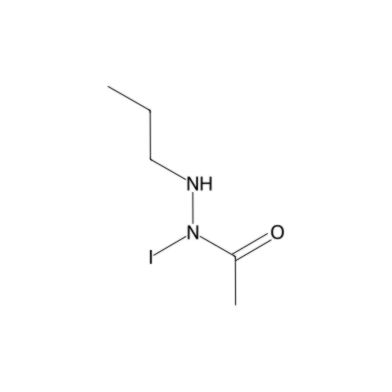 CCCNN(I)C(C)=O